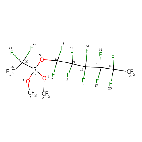 FC(F)(F)O[Si](OC(F)(F)F)(OC(F)(F)C(F)(F)C(F)(F)C(F)(F)C(F)(F)C(F)(F)F)C(F)(F)C(F)(F)F